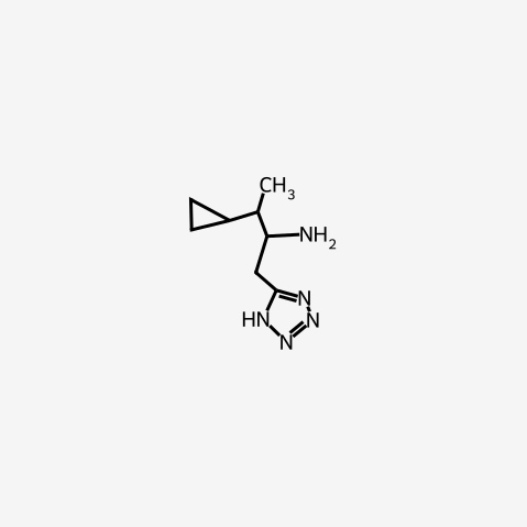 CC(C(N)Cc1nnn[nH]1)C1CC1